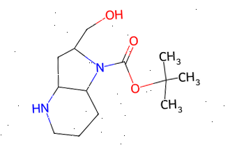 CC(C)(C)OC(=O)N1C(CO)CC2NCCCC21